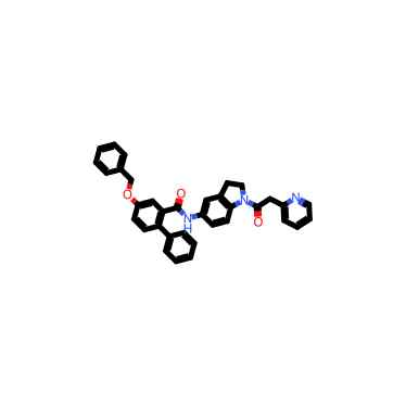 O=C(Nc1ccc2c(c1)CCN2C(=O)Cc1ccccn1)c1cc(OCc2ccccc2)ccc1-c1ccccc1